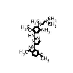 COc1ccc2c(C)nn(-c3ccnc(Nc4cc(N)c(N(C)CCN(C)C)cc4OC)n3)c2c1